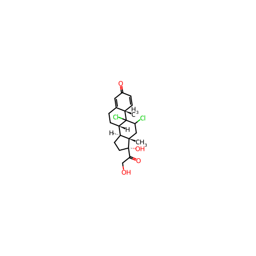 C[C@]12C=CC(=O)C=C1CC[C@H]1[C@@H]3CC[C@](O)(C(=O)CO)[C@@]3(C)CC(Cl)C12Cl